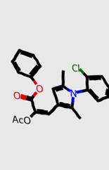 CC(=O)OC(=Cc1cc(C)n(-c2ccccc2Cl)c1C)C(=O)Oc1ccccc1